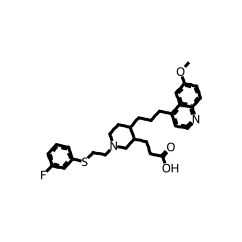 COc1ccc2nccc(CCCC3CCN(CCSc4cccc(F)c4)CC3CCC(=O)O)c2c1